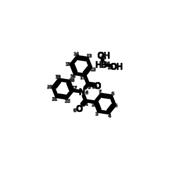 O=C(c1ccccc1)N(C(=O)c1ccccc1)c1ccccc1.OBO